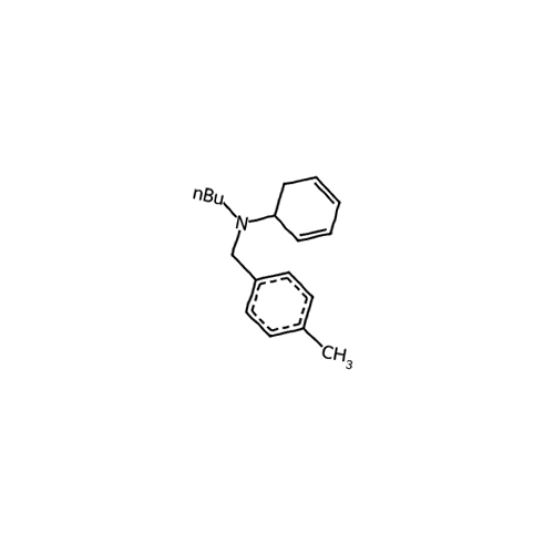 CCCCN(Cc1ccc(C)cc1)C1C=CC=CC1